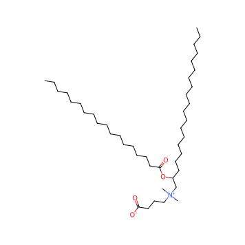 CCCCCCCCCCCCCCCCCCC(C[N+](C)(C)CCCC(=O)[O-])OC(=O)CCCCCCCCCCCCCCCCC